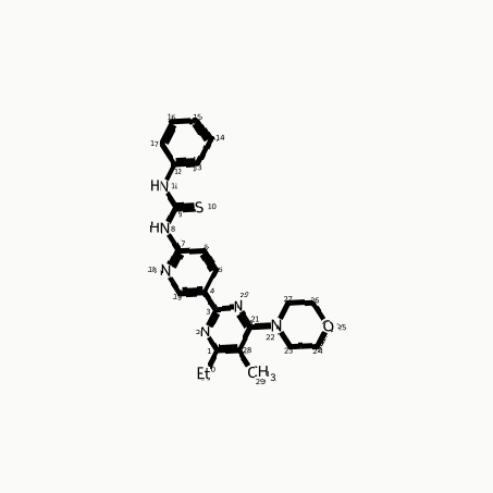 CCc1nc(-c2ccc(NC(=S)Nc3ccccc3)nc2)nc(N2CCOCC2)c1C